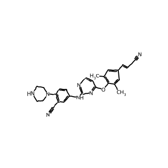 Cc1cc(/C=C/C#N)cc(C)c1Oc1ccnc(Nc2ccc(N3CCNCC3)c(C#N)c2)n1